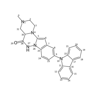 CN1CCN2c3cc4cc(-n5c6ccccc6c6ccccc65)ccc4n3NC(=O)C2C1